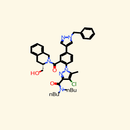 CCCCN(CCCC)C(=O)c1nn(-c2ccc(-c3cnn(Cc4ccccc4)c3)cc2C(=O)N2Cc3ccccc3C[C@H]2CO)c(C)c1Cl